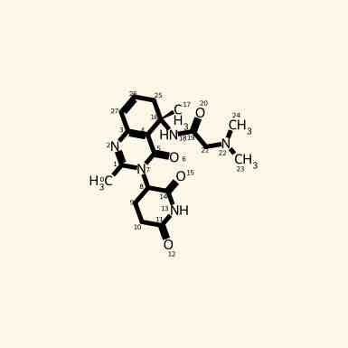 Cc1nc2c(c(=O)n1C1CCC(=O)NC1=O)[C@@](C)(NC(=O)CN(C)C)CC=C2